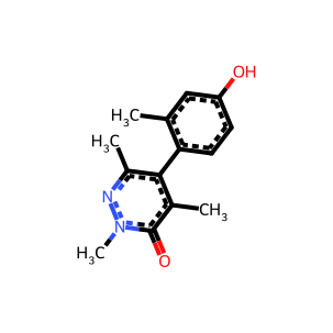 Cc1cc(O)ccc1-c1c(C)nn(C)c(=O)c1C